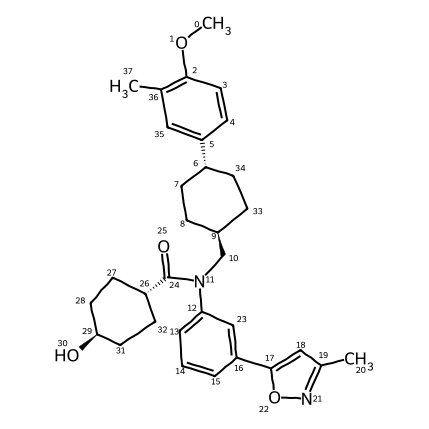 COc1ccc([C@H]2CC[C@H](CN(c3cccc(-c4cc(C)no4)c3)C(=O)[C@H]3CC[C@H](O)CC3)CC2)cc1C